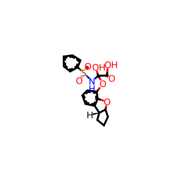 O=C(O)C(O)(NS(=O)(=O)c1ccccc1)Oc1cccc2c1OC1CCC[C@H]21